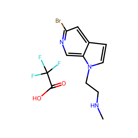 CNCCn1ccc2cc(Br)ncc21.O=C(O)C(F)(F)F